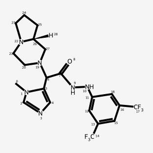 Cn1cncc1C(C(=O)NNc1cc(C(F)(F)F)cc(C(F)(F)F)c1)N1CCN2CCC[C@@H]2C1